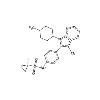 CC1(S(=O)(=O)Nc2ccc(-c3c(C#N)c4cccnc4n3C3CCC(C(F)(F)F)CC3)cc2)CC1